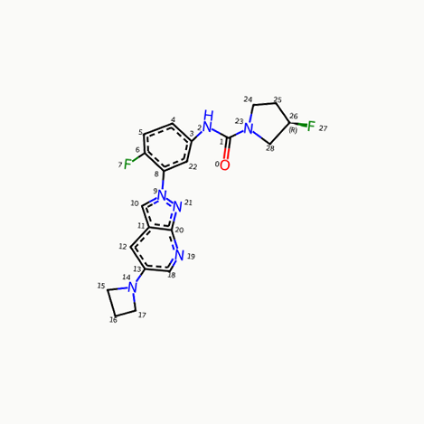 O=C(Nc1ccc(F)c(-n2cc3cc(N4CCC4)cnc3n2)c1)N1CC[C@@H](F)C1